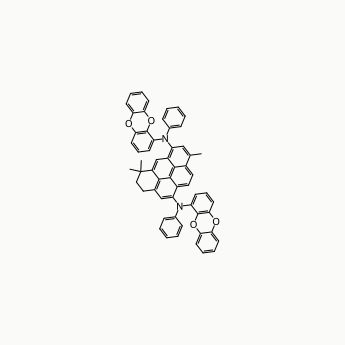 Cc1cc(N(c2ccccc2)c2cccc3c2Oc2ccccc2O3)c2cc3c4c(cc(N(c5ccccc5)c5cccc6c5Oc5ccccc5O6)c5ccc1c2c54)CCC3(C)C